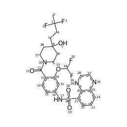 CC(F)(F)CCC1(O)CCN(C(=O)c2ccc(NS(=O)(=O)c3cccc4nccnc34)cc2OC(F)F)CC1